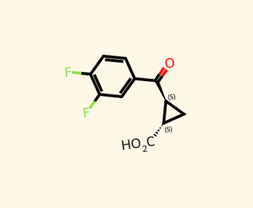 O=C(O)[C@H]1C[C@@H]1C(=O)c1ccc(F)c(F)c1